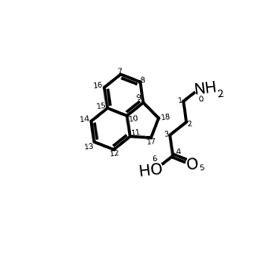 NCCCC(=O)O.c1cc2c3c(cccc3c1)CC2